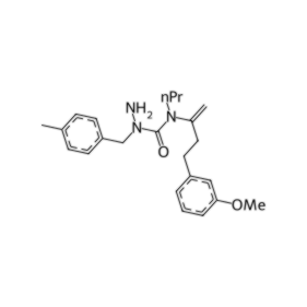 C=C(CCc1cccc(OC)c1)N(CCC)C(=O)N(N)Cc1ccc(C)cc1